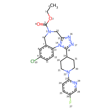 CCOC(=O)N1Cc2cc(Cl)ccc2-n2c(nnc2C2CCN(c3ccc(F)cn3)CC2)C1